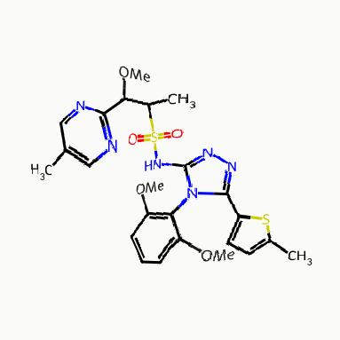 COc1cccc(OC)c1-n1c(NS(=O)(=O)C(C)C(OC)c2ncc(C)cn2)nnc1-c1ccc(C)s1